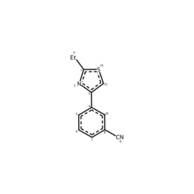 CCc1nc(-c2cccc(C#N)c2)cs1